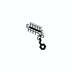 FC(F)(F)C(F)(F)C(F)(F)C(F)(F)C(F)(F)SC(=S)OCCc1ccccc1